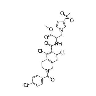 COC(=O)C(Cn1ccc(S(C)(=O)=O)c1)NC(=O)c1c(Cl)cc2c(c1Cl)CCN(C(=O)c1ccc(Cl)cc1)C2